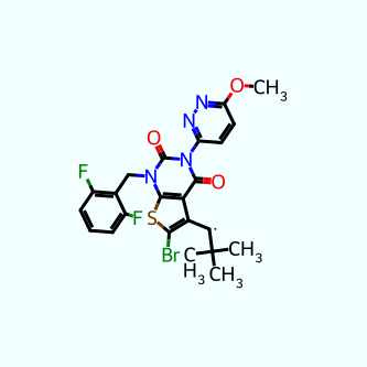 COc1ccc(-n2c(=O)c3c([CH]C(C)(C)C)c(Br)sc3n(Cc3c(F)cccc3F)c2=O)nn1